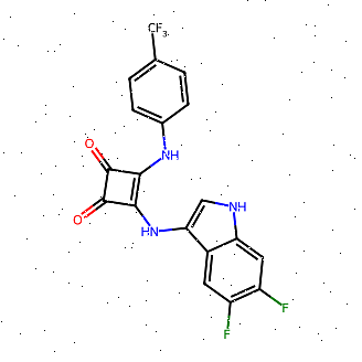 O=c1c(Nc2ccc(C(F)(F)F)cc2)c(Nc2c[nH]c3cc(F)c(F)cc23)c1=O